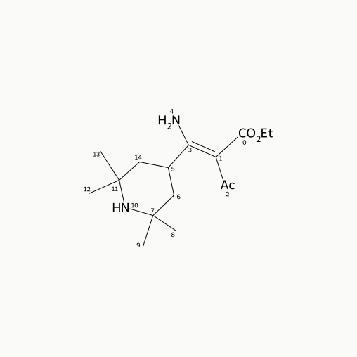 CCOC(=O)C(C(C)=O)=C(N)C1CC(C)(C)NC(C)(C)C1